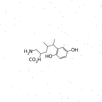 CC(CC(CN)C(=O)O)C(C)c1cc(O)ccc1O